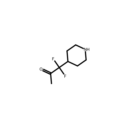 CC(=O)C(F)(F)C1CCNCC1